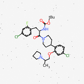 CC(COc1cc(Cl)ccc1C1CCN(C(=O)[C@@H](Cc2ccc(Cl)cc2F)NC(=O)OC(C)(C)C)CC1)N1CCCC1